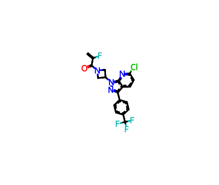 C=C(F)C(=O)N1CC(n2nc(-c3ccc(C(F)(F)F)cc3)c3ccc(Cl)nc32)C1